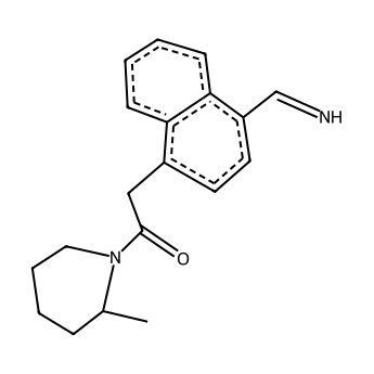 CC1CCCCN1C(=O)Cc1ccc(C=N)c2ccccc12